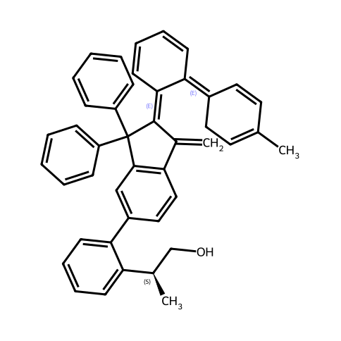 C=C1/C(=c2/cccc/c2=C2\C=CC(C)=CC2)C(c2ccccc2)(c2ccccc2)c2cc(-c3ccccc3[C@H](C)CO)ccc21